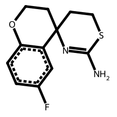 NC1=NC2(CCOc3ccc(F)cc32)CCS1